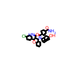 NC(=O)c1ccc(C(=O)N(C(c2ccccc2)c2c[nH]c3cc(Cl)ccc3c2=O)C2C3CC4CC2CC(O)(C4)C3)cc1